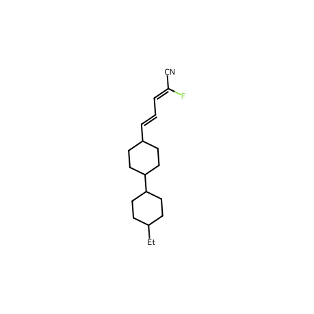 CCC1CCC(C2CCC(C=CC=C(F)C#N)CC2)CC1